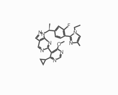 CCn1cc(C)nc1-c1ccc([C@H](C)n2ncc3cnc(-c4c(OC)ncnc4C4CC4)nc32)cc1F